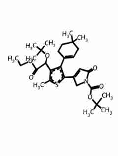 CCOC(=O)C(OC(C)(C)C)c1c(C)sc(C2=CC(=O)N(C(=O)OC(C)(C)C)C2)c1C1=CCC(C)(C)CC1